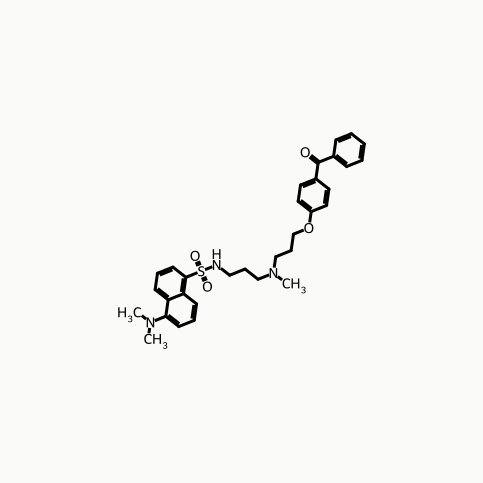 CN(CCCNS(=O)(=O)c1cccc2c(N(C)C)cccc12)CCCOc1ccc(C(=O)c2ccccc2)cc1